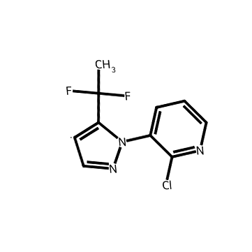 CC(F)(F)c1[c]cnn1-c1cccnc1Cl